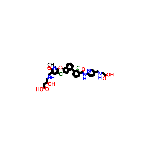 COc1nc(O[C@H]2CCc3c(-c4cccc(C(=O)Nc5ccc(CNCC(=O)O)cn5)c4Cl)cccc32)c(Cl)cc1CNCC(O)CC(=O)O